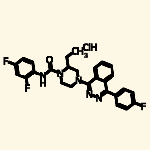 CCC1CN(c2nnc(-c3ccc(F)cc3)c3ccccc23)CCN1C(=O)Nc1ccc(F)cc1F.Cl